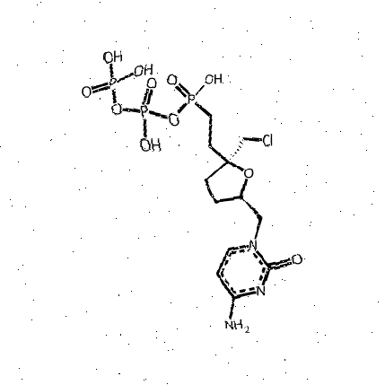 Nc1ccn(C[C@H]2CC[C@@](CCl)(CCP(=O)(O)OP(=O)(O)OP(=O)(O)O)O2)c(=O)n1